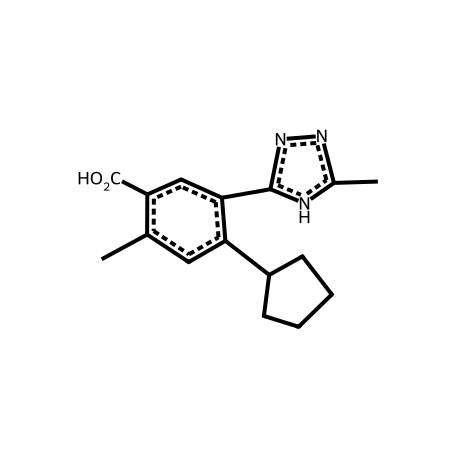 Cc1nnc(-c2cc(C(=O)O)c(C)cc2C2CCCC2)[nH]1